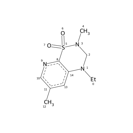 CCN1CN(C)S(=O)(=O)c2ncc(C)cc21